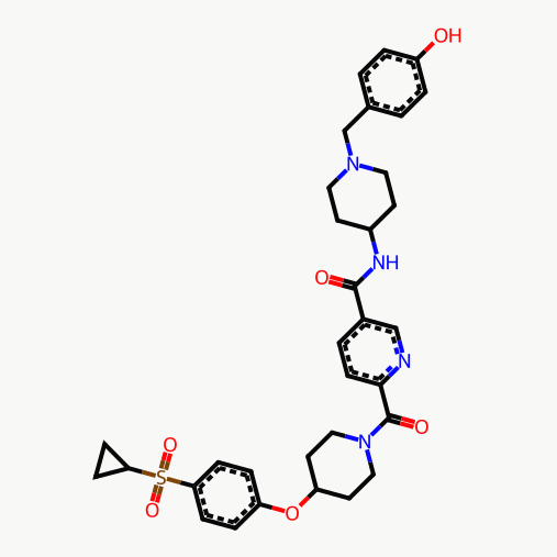 O=C(NC1CCN(Cc2ccc(O)cc2)CC1)c1ccc(C(=O)N2CCC(Oc3ccc(S(=O)(=O)C4CC4)cc3)CC2)nc1